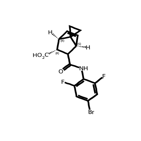 O=C(Nc1c(F)cc(Br)cc1F)C1[C@H](C(=O)O)[C@H]2C=C[C@@H]1C21CC1